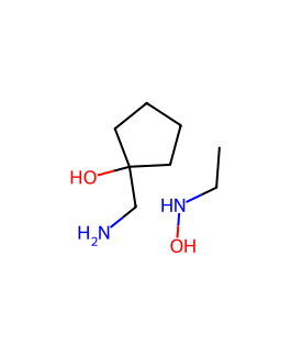 CCNO.NCC1(O)CCCC1